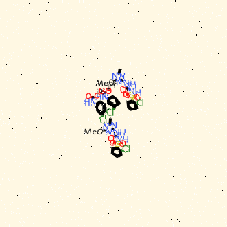 CC(C)OC(=O)Nc1cccc(Cl)c1.CC(C)OC(=O)Nc1cccc(Cl)c1.COc1nc(C)nc(NC(=O)NS(=O)(=O)c2ccccc2Cl)n1.COc1nc(C)nc(NC(=O)NS(=O)(=O)c2ccccc2Cl)n1